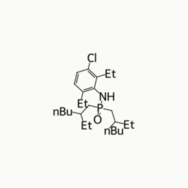 CCCCC(CC)CP(=O)(CC(CC)CCCC)Nc1c(CC)ccc(Cl)c1CC